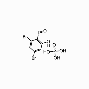 O=Ic1c(O)cc(Br)cc1Br.O=P(O)(O)O